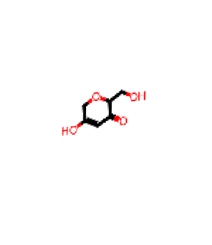 O=C1C=C(O)COC1CO